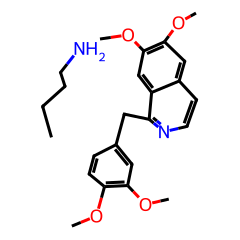 CCCCN.COc1ccc(Cc2nccc3cc(OC)c(OC)cc23)cc1OC